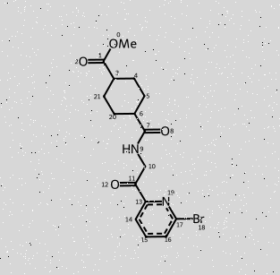 COC(=O)C1CCC(C(=O)NCC(=O)c2cccc(Br)n2)CC1